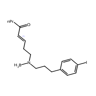 BN(CC/C=C/C(=O)CCC)CCCc1ccc(I)cc1